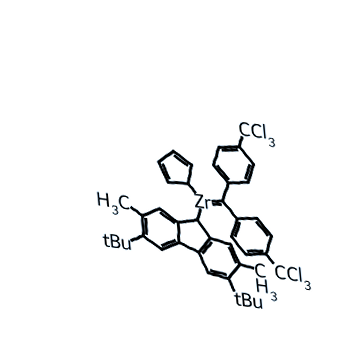 Cc1cc2c(cc1C(C)(C)C)-c1cc(C(C)(C)C)c(C)cc1[CH]2[Zr](=[C](c1ccc(C(Cl)(Cl)Cl)cc1)c1ccc(C(Cl)(Cl)Cl)cc1)[CH]1C=CC=C1